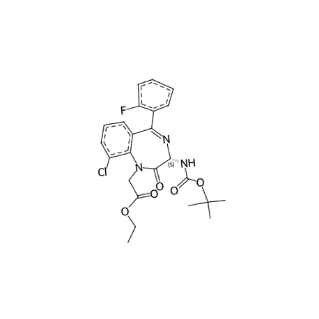 CCOC(=O)CN1C(=O)[C@@H](NC(=O)OC(C)(C)C)N=C(c2ccccc2F)c2cccc(Cl)c21